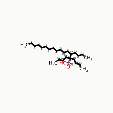 CCCCCCCCCCCCC(CCCC)C(CCCC)(CCCC)P(=O)(O)Cl